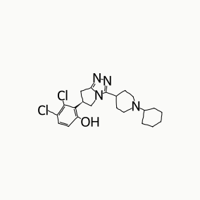 Oc1ccc(Cl)c(Cl)c1[C@H]1Cc2nnc(C3CCN(C4CCCCC4)CC3)n2C1